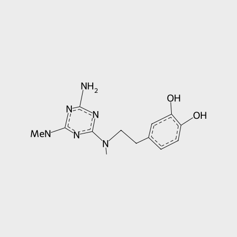 CNc1nc(N)nc(N(C)CCc2ccc(O)c(O)c2)n1